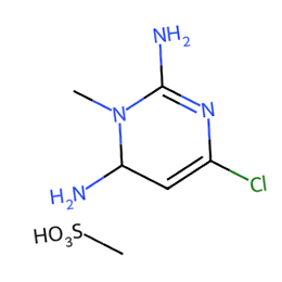 CN1C(N)=NC(Cl)=CC1N.CS(=O)(=O)O